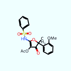 COc1ccccc1C1(C)OC(NS(=O)(=O)c2ccccc2)=C(OC(C)=O)C1=O